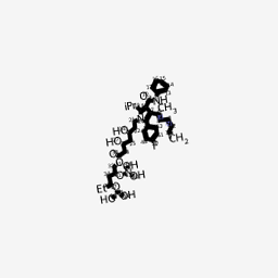 C=C/C=C\C=C(/C)c1c(C(=O)Nc2ccccc2)c(C(C)C)n(CCC(O)CC(O)CC(=O)OCC(CC(CC)ON(O)O)ON(O)O)c1-c1ccc(F)cc1